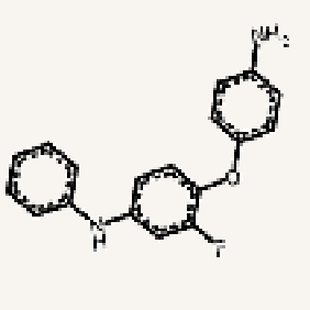 Nc1ccc(Oc2ccc(Nc3ccccc3)cc2F)cc1